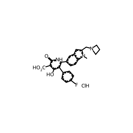 Cl.Cn1c(CN2CCC2)cc2cc(-c3[nH]c(=O)c(C(=O)O)c(O)c3-c3ccc(F)cc3)ccc21